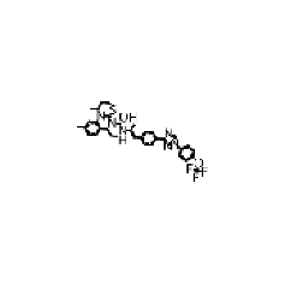 CCCc1ccc(C)cc1N1/C(=N/C(O)N/C(C)=C/c2ccc(-c3ncn(-c4ccc(OC(F)(F)F)cc4)n3)cc2)SCCC1C